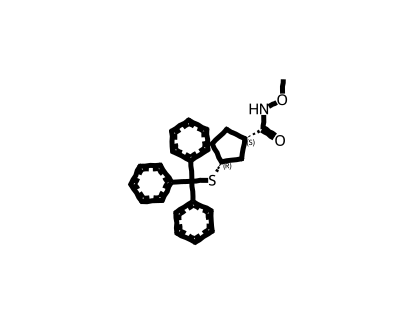 CONC(=O)[C@H]1CC[C@@H](SC(c2ccccc2)(c2ccccc2)c2ccccc2)C1